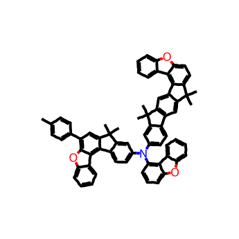 Cc1ccc(-c2cc3c(c4c2oc2ccccc24)-c2ccc(N(c4ccc5c(c4)C(C)(C)c4cc6c(cc4-5)C(C)(C)c4ccc5oc7ccccc7c5c4-6)c4cccc5oc6ccccc6c45)cc2C3(C)C)cc1